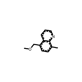 COCc1ccc(C)c2ncccc12